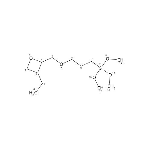 CCC1COC1COCCC[Si](OC)(OC)OC